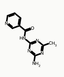 Cc1nc(N)nc(NC(=O)c2cccnc2)n1